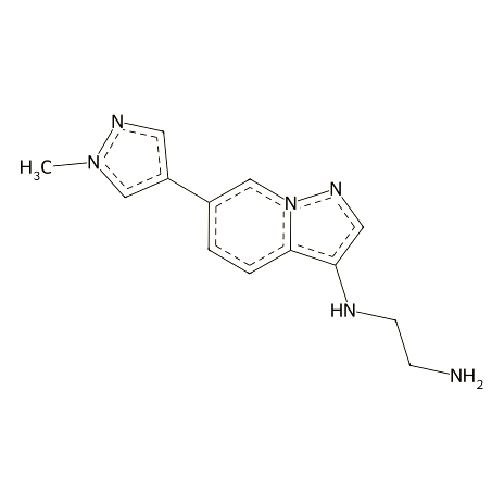 Cn1cc(-c2ccc3c(NCCN)cnn3c2)cn1